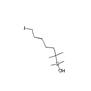 CC(C)(CCCCCI)[Si](C)(C)O